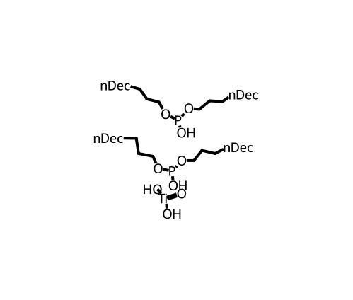 CCCCCCCCCCCCCOP(O)OCCCCCCCCCCCCC.CCCCCCCCCCCCCOP(O)OCCCCCCCCCCCCC.[O]=[Ti]([OH])[OH]